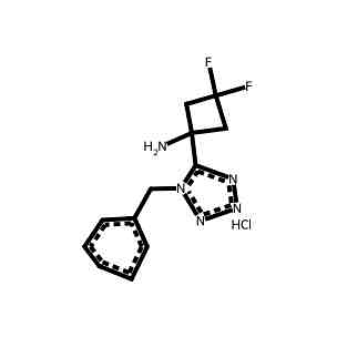 Cl.NC1(c2nnnn2Cc2ccccc2)CC(F)(F)C1